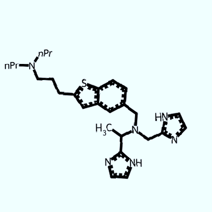 CCCN(CCC)CCCc1cc2cc(CN(Cc3ncc[nH]3)C(C)c3ncc[nH]3)ccc2s1